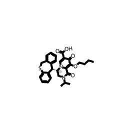 CCCCOc1c2n(cc(C(=O)O)c1=O)[C@@H](C1c3ccccc3CSc3ccccc31)CN(C(C)C)C2=O